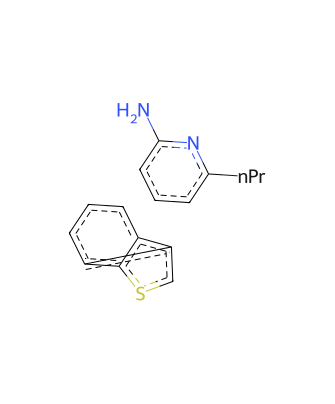 CCCc1cccc(N)n1.c1cc2c3csc2c3c1